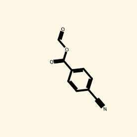 N#Cc1ccc(C(=O)OC=O)cc1